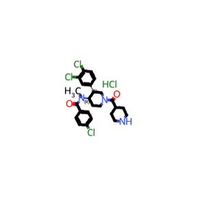 CN(C(=O)c1ccc(Cl)cc1)[C@@H]1CCN(C(=O)C2CCNCC2)C[C@H]1c1ccc(Cl)c(Cl)c1.Cl